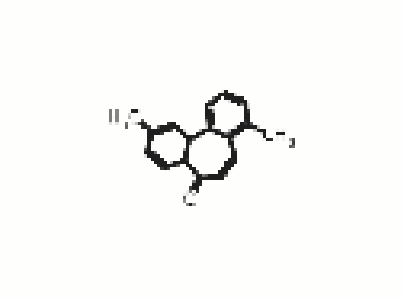 CC1=CC2c3cccc(C)c3C=CC(=O)C2C=C1